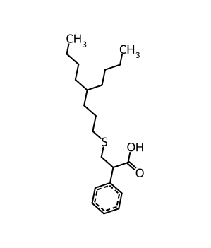 CCCCC(CCCC)CCCSCC(C(=O)O)c1ccccc1